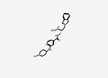 CSN[C@@H](CNC(=O)c1ccnc(NC2CCN(C(C)=O)CC2)c1)CN1Cc2ccccc2C1